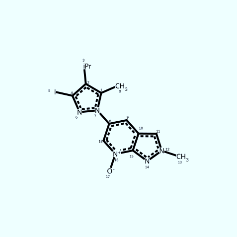 Cc1c(C(C)C)c(I)nn1-c1cc2cn(C)nc2[n+]([O-])c1